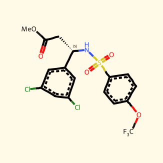 COC(=O)C[C@H](NS(=O)(=O)c1ccc(OC(F)(F)F)cc1)c1cc(Cl)cc(Cl)c1